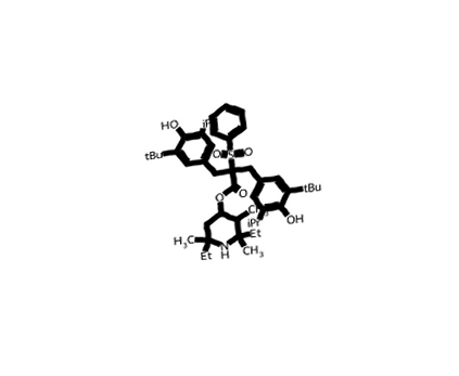 CCC1(C)CC(OC(=O)C(Cc2cc(C(C)C)c(O)c(C(C)(C)C)c2)(Cc2cc(C(C)C)c(O)c(C(C)(C)C)c2)S(=O)(=O)c2ccccc2)C(C)C(C)(CC)N1